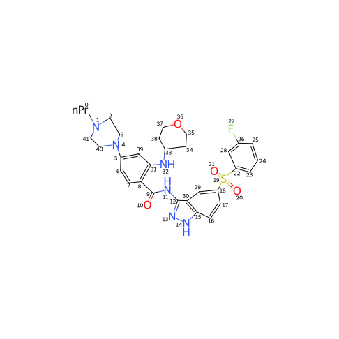 CCCN1CCN(c2ccc(C(=O)Nc3n[nH]c4ccc(S(=O)(=O)c5cccc(F)c5)cc34)c(NC3CCOCC3)c2)CC1